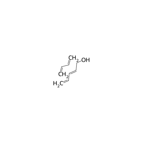 C=C/C=C/CO.C=CC=C